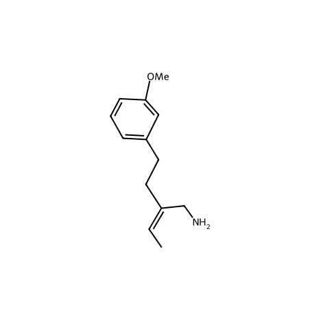 C/C=C(\CN)CCc1cccc(OC)c1